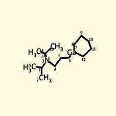 CC(C)N(CC[CH2][Ga]1[CH2]CCC[CH2]1)C(C)C